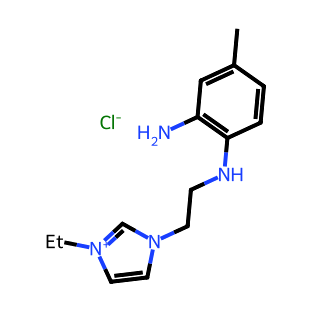 CC[n+]1ccn(CCNc2ccc(C)cc2N)c1.[Cl-]